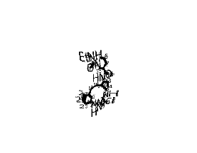 CCNC(=O)N1CCCC(C(=O)Nc2ccc3cc2CCc2cccc(c2)Nc2ncc(Cl)c(n2)N3)C1